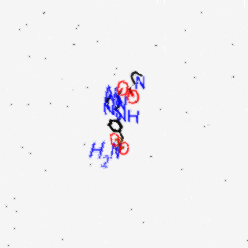 CN1CCC[C@H]1C(=O)Oc1ncnc(Nc2cccc(CS(N)(=O)=O)c2)n1